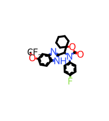 O=C1OC2(CCCCC2)C(c2nc3cc(OC(F)(F)F)ccc3[nH]2)N1c1ccc(F)cc1